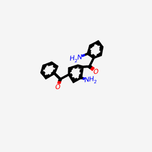 Nc1ccccc1C(=O)c1ccc(C(=O)c2ccccc2)cc1N